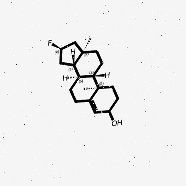 C[C@]12CC[C@H]3[C@@H](CCC4=CC(O)CC[C@@]43C)[C@@H]1C[C@@H](F)C2